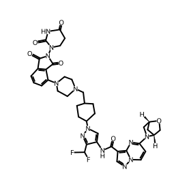 O=C1CCN(N2C(=O)c3cccc(N4CCN(CC5CCC(n6cc(NC(=O)c7cnn8ccc(N9C[C@H]%10C[C@@H]9CO%10)nc78)c(C(F)F)n6)CC5)CC4)c3C2=O)C(=O)N1